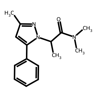 Cc1cc(-c2ccccc2)n(C(C)C(=O)N(C)C)n1